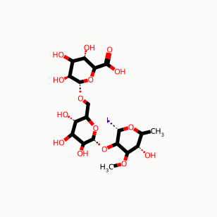 COC1C(O[C@H]2OC(CO[C@H]3OC(C(=O)O)[C@@H](O)C(O)[C@@H]3O)[C@@H](O)C(O)C2O)[C@H](I)OC(C)[C@@H]1O